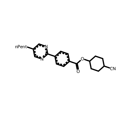 CCCCCc1cnc(-c2ccc(C(=O)OC3CCC(C#N)CC3)cc2)nc1